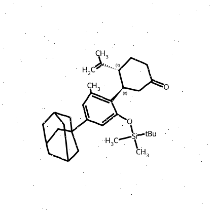 C=C(C)[C@@H]1CCC(=O)C[C@H]1c1c(C)cc(C23CC4CC(CC(C4)C2)C3)cc1O[Si](C)(C)C(C)(C)C